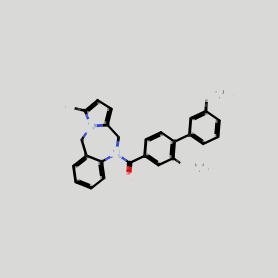 COc1cccc(-c2ccc(C(=O)N3Cc4ccc(C=O)n4Cc4ccccc43)cc2OC)c1